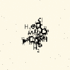 COc1c(-c2cc(Cl)cn(C)c2=O)cccc1S(=O)(=O)N[C@@H](C(N)=O)C(=O)N1CCN(C2CC2)CC1